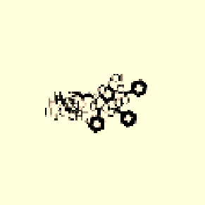 C=CC(CS[C@H]1O[C@H](CO)[C@H](OC(=O)c2ccccc2)[C@H](OC(=O)c2ccccc2)[C@H]1OC(=O)c1ccccc1)O[Si](C)(C)C(C)(C)C